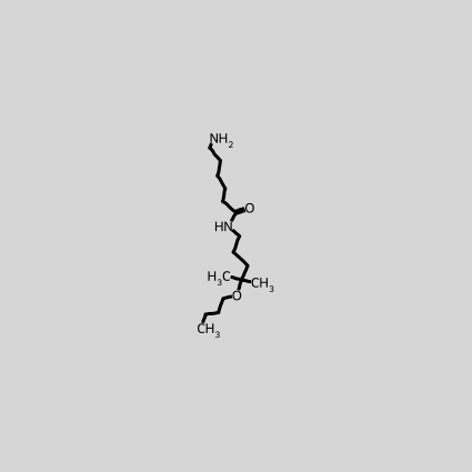 CCCCOC(C)(C)CCCNC(=O)CCCCCN